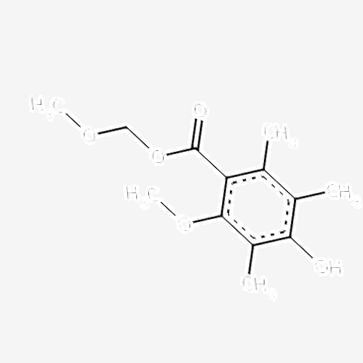 COCOC(=O)c1c(C)c(C)c(O)c(C)c1OC